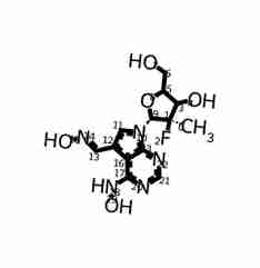 C[C@@]1(F)C(O)C(CO)O[C@H]1n1cc(C=NO)c2c(NO)ncnc21